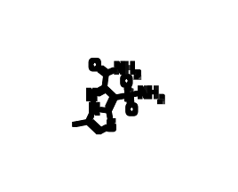 Cc1csc2c(S(N)(=O)=O)c(C(N)=O)nn12